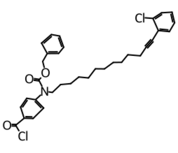 O=C(Cl)c1ccc(N(CCCCCCCCCCCC#Cc2ccccc2Cl)C(=O)OCc2ccccc2)cc1